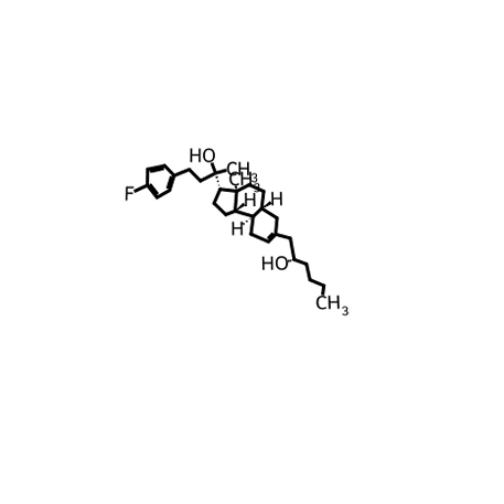 CCCC[C@H](O)CC1=CC[C@@H]2[C@H](CC[C@]3(C)[C@@H](C(C)(O)CCc4ccc(F)cc4)CC[C@@H]23)C1